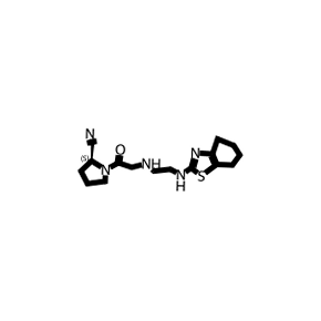 N#C[C@@H]1CCCN1C(=O)CNCCNc1nc2c(s1)CCCC2